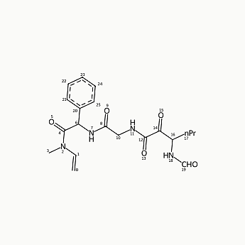 C=CN(C)C(=O)C(NC(=O)CNC(=O)C(=O)C(CCC)NC=O)c1ccccc1